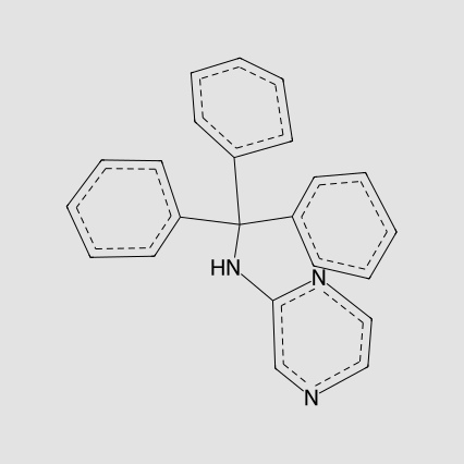 c1ccc(C(Nc2cnccn2)(c2ccccc2)c2ccccc2)cc1